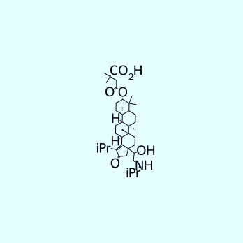 CC(C)NCC(O)C12CC[C@]3(C)[C@H](CC[C@@H]4[C@@]5(C)CC[C@H](OC(=O)CC(C)(C)C(=O)O)C(C)(C)C5CC[C@]43C)C1=C(C(C)C)C(=O)C2